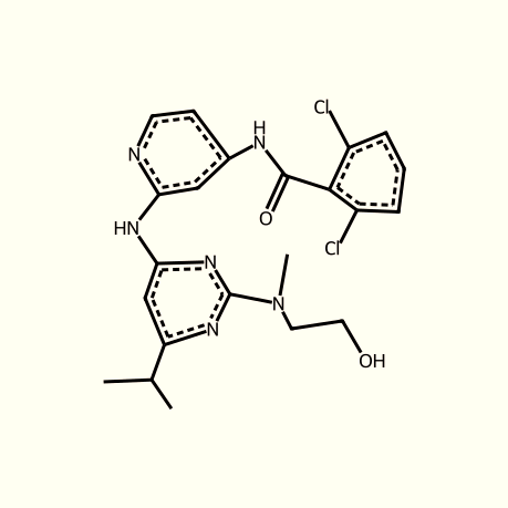 CC(C)c1cc(Nc2cc(NC(=O)c3c(Cl)cccc3Cl)ccn2)nc(N(C)CCO)n1